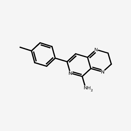 Cc1ccc(-c2cc3c(c(N)n2)=NCCN=3)cc1